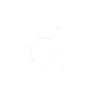 NC1=CC(N)C=CN=C1